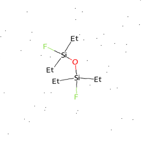 CC[Si](F)(CC)O[Si](F)(CC)CC